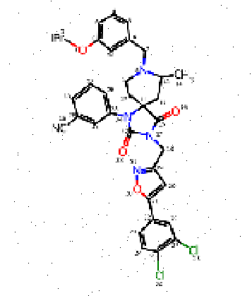 CC(C)Oc1cccc(CN2CC[C@@]3(C[C@@H]2C)C(=O)N(Cc2cc(-c4ccc(Cl)c(Cl)c4)on2)C(=O)N3c2cccc(C#N)c2)c1